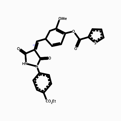 CCOC(=O)c1ccc(N2NC(=O)/C(=C/C3C=CC(OC(=O)c4cccs4)=C(OC)C3)C2=O)cc1